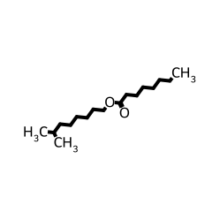 CCCCCCCC(=O)OCCCCCCC(C)C